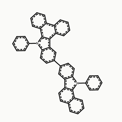 c1ccc(-n2c3ccc(-c4ccc5c(c4)c4c6ccccc6c6ccccc6c4n5-c4ccccc4)cc3c3ccc4ccccc4c32)cc1